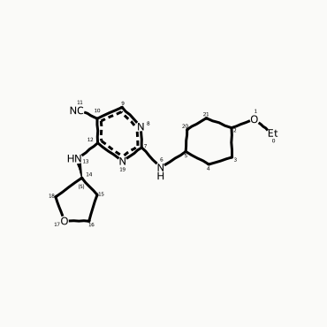 CCOC1CCC(Nc2ncc(C#N)c(N[C@H]3CCOC3)n2)CC1